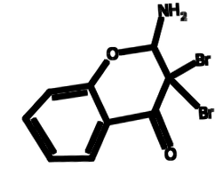 NC1Oc2ccccc2C(=O)C1(Br)Br